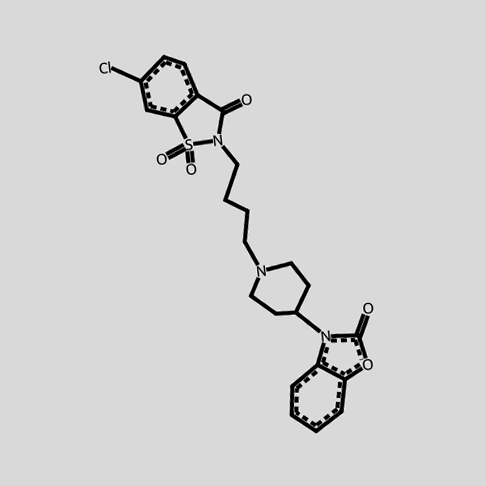 O=C1c2ccc(Cl)cc2S(=O)(=O)N1CCCCN1CCC(n2c(=O)oc3ccccc32)CC1